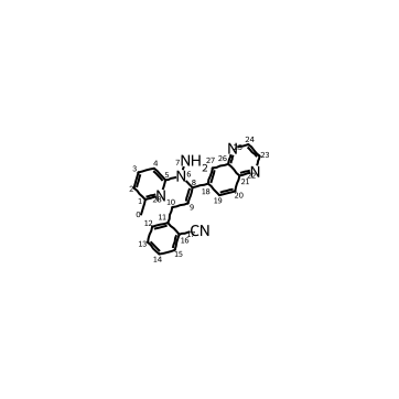 Cc1cccc(N(N)/C(=C\Cc2ccccc2C#N)c2ccc3nccnc3c2)n1